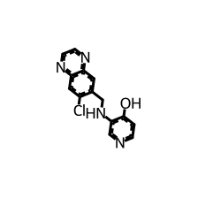 Oc1ccncc1NCc1cc2nccnc2cc1Cl